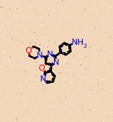 Nc1ccc(-c2nc(N3CCOCC3)c3oc4ncccc4c3n2)cc1